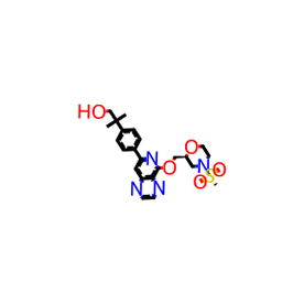 CC(C)(CO)c1ccc(-c2cc3nccnc3c(OC[C@@H]3CN(S(C)(=O)=O)CCO3)n2)cc1